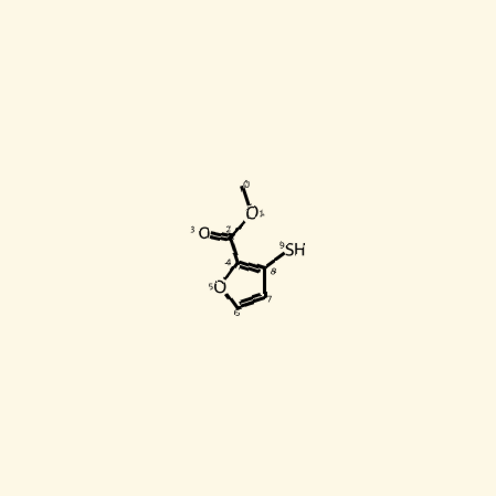 COC(=O)c1occc1S